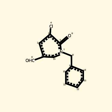 O=Cc1cc(Cl)c(=O)n(Cc2ccccc2)c1